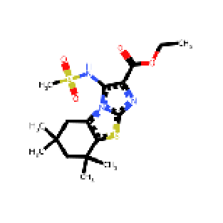 CCOC(=O)c1nc2sc3c(n2c1NS(C)(=O)=O)CC(C)(C)CC3(C)C